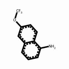 Nc1cccc2cc(OC(F)(F)F)ccc12